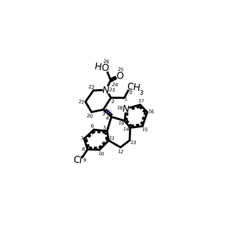 CCC1/C(=C2/c3ccc(Cl)cc3CCc3cccnc32)CCCN1C(=O)O